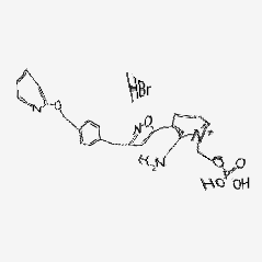 Br.Nc1c(-c2cc(Cc3ccc(COc4ccccn4)cc3)no2)ccc[n+]1COP(=O)(O)O